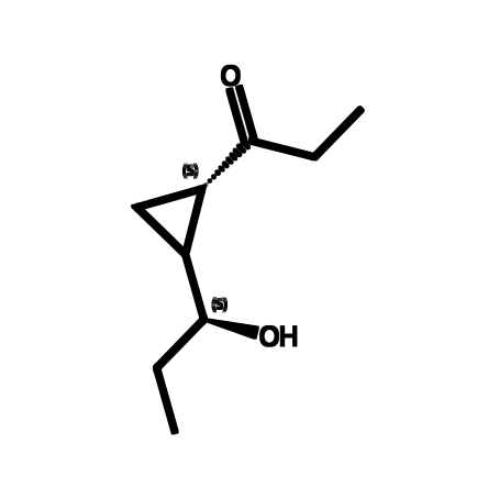 CCC(=O)[C@H]1CC1[C@@H](O)CC